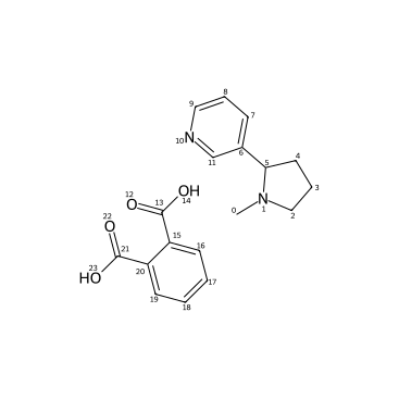 CN1CCCC1c1cccnc1.O=C(O)c1ccccc1C(=O)O